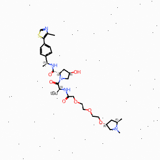 Cc1ncsc1-c1ccc([C@H](C)NC(=O)[C@@H]2C[C@@H](O)CN2C(=O)[C@@H](NC(=O)COCCOCCO[C@@H]2C[C@@H](C)N(C)C2)C(C)(C)C)cc1